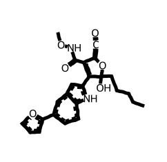 CCCCCC1(O)OC(=C=O)C(C(=O)NOC)=C1c1cc2cc(-c3ccco3)ccc2[nH]1